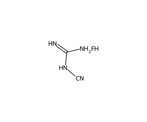 F.N#CNC(=N)N